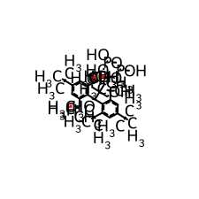 CC(C)(C)c1cc(C(C)(C)C)c(C(O)(c2c(C(C)(C)C)cc(C(C)(C)C)cc2C(C)(C)C)C(CO)(CO)CO)c(C(C)(C)C)c1.OP(O)OP(O)O